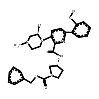 CCOc1ccccc1-c1ccc(N2CCN(C(=O)O)C[C@H]2CC)c(C(=O)N[C@@H]2CCN(C(=O)OCc3ccccc3)C2)n1